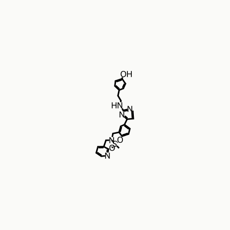 CS(=O)(=O)N(Cc1cccnc1)Cc1cccc(-c2ccnc(NCCc3ccc(O)cc3)n2)c1